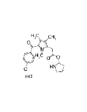 Cc1c(C)c(C(=O)c2ccc(Cl)cc2)n(C)c1CC(=O)OC1CCCN1.Cl